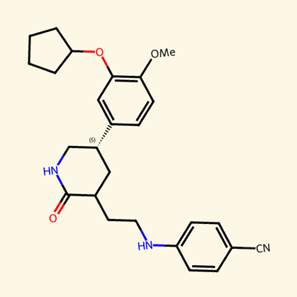 COc1ccc([C@H]2CNC(=O)C(CCNc3ccc(C#N)cc3)C2)cc1OC1CCCC1